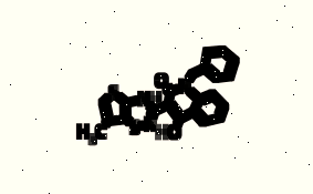 Cc1csc2c1SN=C(c1c(O)c3ccccc3n(Cc3ccccc3)c1=O)N2